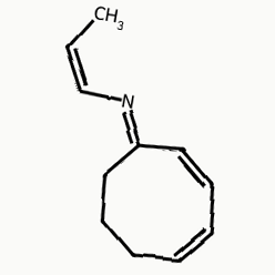 C\C=C/N=C1/C=C\C=C/CCC1